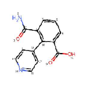 NC(=O)c1cccc(C(=O)O)c1-c1ccncc1